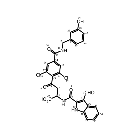 O=Cc1c(C(=O)NC(CC(=O)c2c(Cl)cc(C(=O)NCc3cccc(O)c3)cc2Cl)C(=O)O)[nH]c2ccccc12